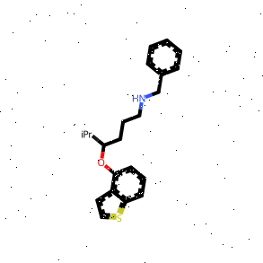 CC(C)C(CCCNCc1ccccc1)Oc1cccc2sccc12